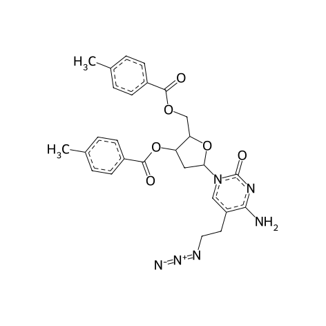 Cc1ccc(C(=O)OCC2OC(n3cc(CCN=[N+]=[N-])c(N)nc3=O)CC2OC(=O)c2ccc(C)cc2)cc1